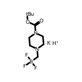 CC(C)(C)OC(=O)N1CCN(C[B-](F)(F)F)CC1.[H+].[K]